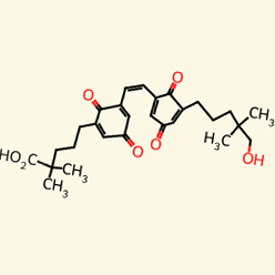 CC(C)(CO)CCCC1=CC(=O)C=C(/C=C\C2=CC(=O)C=C(CCCC(C)(C)C(=O)O)C2=O)C1=O